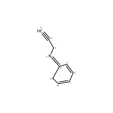 C#CCN=C1C=CC=CC1